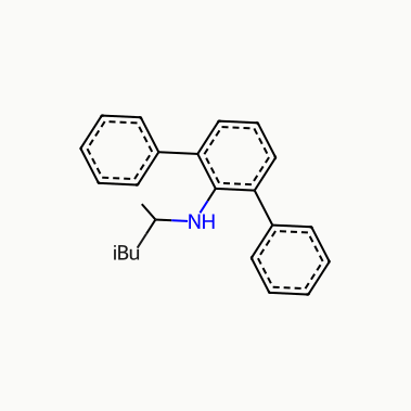 CCC(C)C(C)Nc1c(-c2ccccc2)cccc1-c1ccccc1